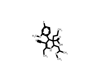 CCCC1(C(=O)O)C(CC(C)OC)NC(CC)=C(C#N)C1c1ccc(F)cc1OC